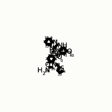 COc1cc(Nc2nc3ccccc3nc2NS(=O)(=O)c2cccc(N(CC(N)=O)Cc3cccs3)c2)cc(OC)c1